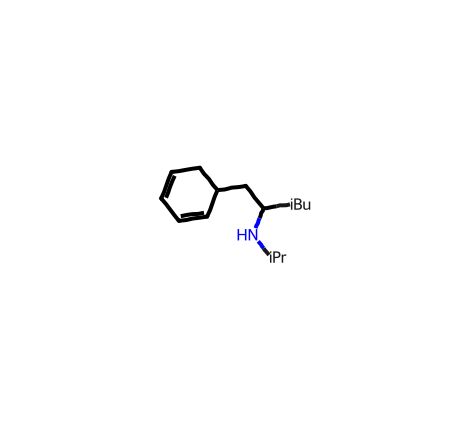 CCC(C)C(CC1C=CC=CC1)NC(C)C